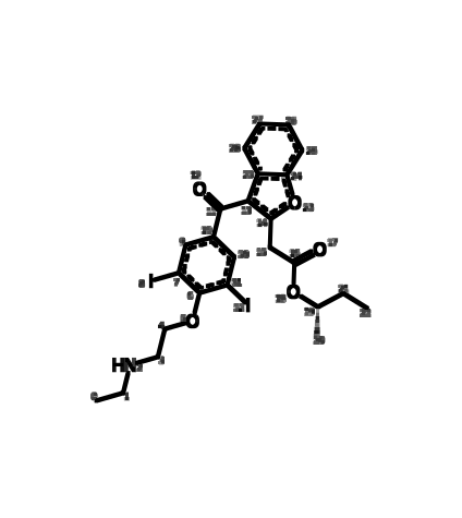 CCNCCOc1c(I)cc(C(=O)c2c(CC(=O)O[C@@H](C)CC)oc3ccccc23)cc1I